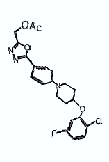 CC(=O)OCc1nnc(-c2ccc(N3CCC(Oc4cc(F)ccc4Cl)CC3)cc2)o1